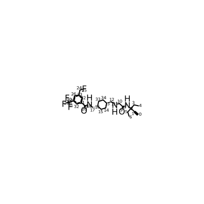 C#CC(CC)(CC)NC(=O)CNC[C@H]1CC[C@H](CNC(=O)c2cc(CF)cc(C(F)(F)F)c2)CC1